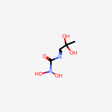 CC(O)(O)C=NC(=O)N(O)O